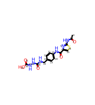 CC(=O)Nc1nc(C(=O)Nc2ccc(CNC(=O)NNC(=O)O)cc2)cs1